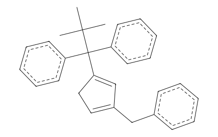 CC(C)(C)C(C1=CC(Cc2ccccc2)=CC1)(c1ccccc1)c1ccccc1